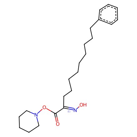 O=C(ON1CCCCC1)/C(CCCCCCCCCc1ccccc1)=N/O